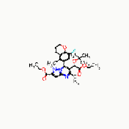 CCOC(=O)c1cc2nc(C)c([C@H](OC(C)(C)C)C(=O)OCC)c(-c3cc(F)c4c(c3C)CCCO4)n2n1